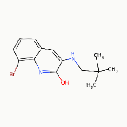 CC(C)(C)CNc1cc2cccc(Br)c2nc1O